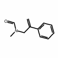 C=C(CN(C)C=O)c1ccccc1